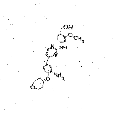 COc1cc(Nc2nccc(-c3ccc(OC4CCOCC4)c(N)c3)n2)ccc1CO